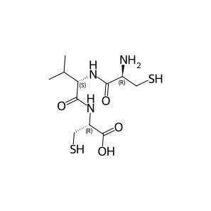 CC(C)[C@H](NC(=O)[C@@H](N)CS)C(=O)N[C@@H](CS)C(=O)O